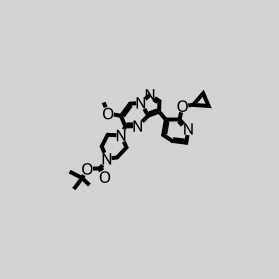 COc1cn2ncc(-c3cccnc3OC3CC3)c2nc1N1CCN(C(=O)OC(C)(C)C)CC1